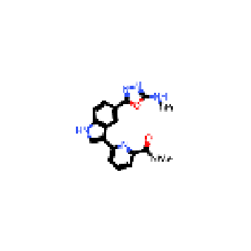 CCCNc1nnc(-c2ccc3[nH]cc(-c4cccc(C(=O)NC)n4)c3c2)o1